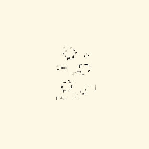 COc1ccc(N(C(=O)c2cccnc2)c2cccc(Cl)c2)cc1O[C@@H]1CCOC1